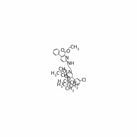 CCOC(=O)c1nc(NCCN(CC(O[Si](C)(C)C(C)(C)C)c2cccc(Cl)c2)C(=O)OC(C)(C)C)ccc1-c1ccccc1